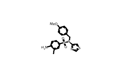 COc1ccc(CN(c2cscn2)S(=O)(=O)c2ccc(N)c(C)c2)cc1